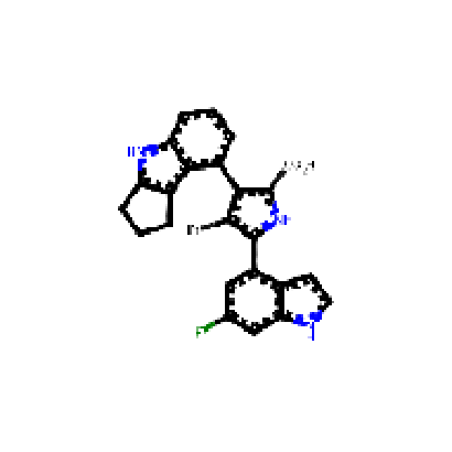 CC(C)c1c(-c2cc(F)cc3[nH]ccc23)[nH]c(C(=O)O)c1-c1cccc2[nH]c3c(c12)CCC3